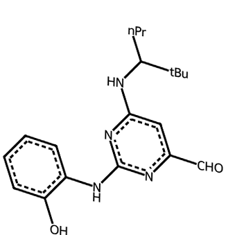 CCCC(Nc1cc(C=O)nc(Nc2ccccc2O)n1)C(C)(C)C